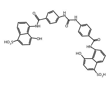 O=C(Nc1ccc(C(=O)Nc2cccc3c(S(=O)(=O)O)ccc(O)c23)cc1)Nc1ccc(C(=O)Nc2cccc3c(S(=O)(=O)O)ccc(O)c23)cc1